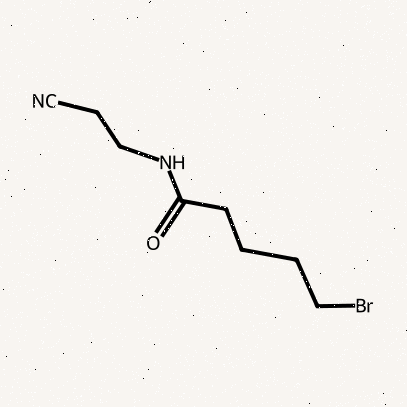 N#CCCNC(=O)CCCCBr